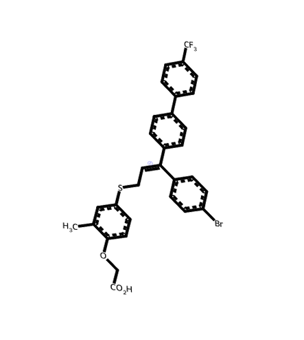 Cc1cc(SC/C=C(\c2ccc(Br)cc2)c2ccc(-c3ccc(C(F)(F)F)cc3)cc2)ccc1OCC(=O)O